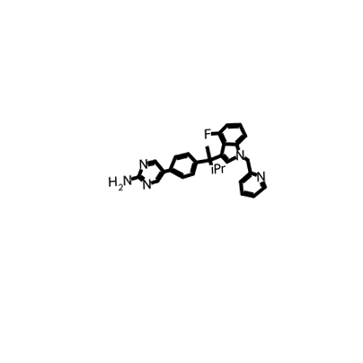 CC(C)C(C)(c1ccc(-c2cnc(N)nc2)cc1)c1cn(Cc2ccccn2)c2cccc(F)c12